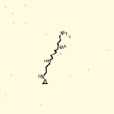 NCCCNCCCCNCCCNN1CC1